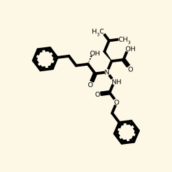 CC(C)C[C@@H](C(=O)O)N(NC(=O)OCc1ccccc1)C(=O)[C@@H](O)CCc1ccccc1